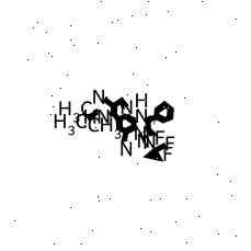 CC(C)(C)CNc1c(C#N)cnc2c(N[C@@H](c3ccccc3)c3cn(C4(C(F)(F)F)CC4)nn3)cc(C#N)cc12